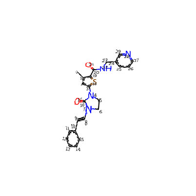 Cc1cc(N2CCN(C=Cc3ccccc3)C2=O)sc1C(=O)NCc1cccnc1